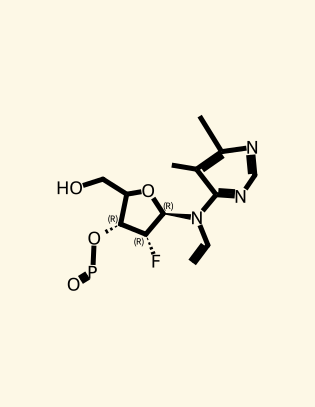 C=CN(c1ncnc(C)c1C)[C@@H]1OC(CO)[C@@H](OP=O)[C@H]1F